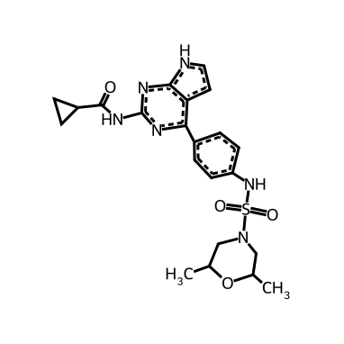 CC1CN(S(=O)(=O)Nc2ccc(-c3nc(NC(=O)C4CC4)nc4[nH]ccc34)cc2)CC(C)O1